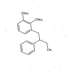 COc1cccc(CC(CC#N)c2ccccc2)c1OC